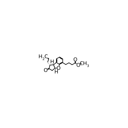 C=CC[C@H]1C(=O)C[C@@H]2Oc3c(CCCC(=O)OC)cccc3[C@@H]21